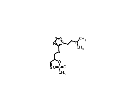 CN(C)CCn1nnnc1SCC([C]=S)OS(C)(=O)=O